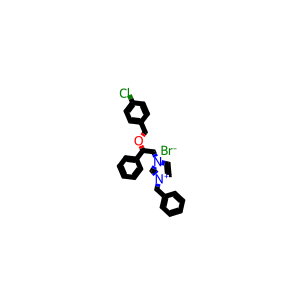 Clc1ccc(COC(Cn2cc[n+](Cc3ccccc3)c2)c2ccccc2)cc1.[Br-]